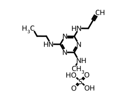 C#CCNc1nc(NC)nc(NCCC)n1.O=S(=O)(O)O